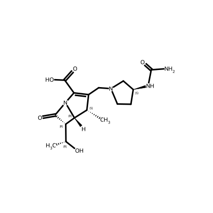 C[C@@H](O)[C@@H]1C(=O)N2C(C(=O)O)=C(CN3CC[C@H](NC(N)=O)C3)[C@H](C)[C@H]12